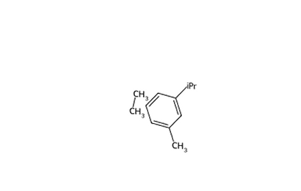 CC.Cc1cccc(C(C)C)c1